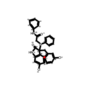 O=C(CN(c1ccccc1)C1(Cc2cccc(Cl)c2)C(=O)Nc2cc(Cl)ccc21)Nc1ccccc1